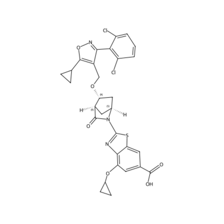 O=C(O)c1cc(OC2CC2)c2nc(N3C(=O)[C@@H]4C[C@H]3C[C@H]4OCc3c(-c4c(Cl)cccc4Cl)noc3C3CC3)sc2c1